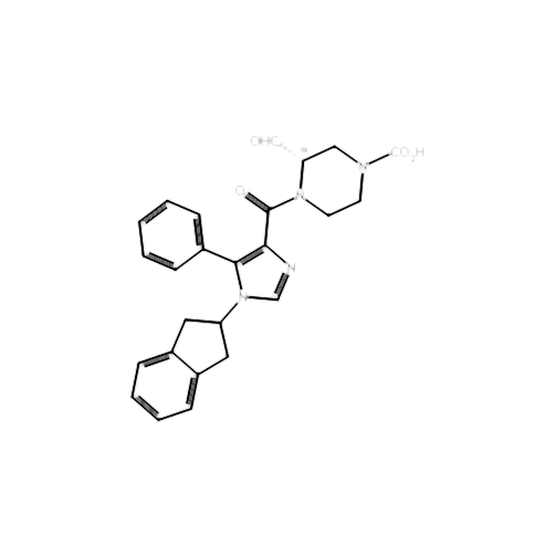 O=C[C@@H]1CN(C(=O)O)CCN1C(=O)c1ncn(C2Cc3ccccc3C2)c1-c1ccccc1